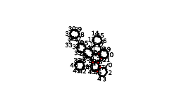 Cc1ccccc1-c1ccc2c(-c3ccccc3-c3ccccc3)c3cc(-c4ccccc4C)ccc3c(-c3ccccc3-c3ccccc3)c2c1